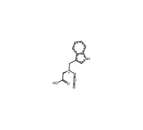 [N-]=[N+]=N[C@@H](CC(=O)O)Cc1c[nH]c2ccccc12